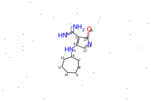 N=C(N)C1=C(NC2CCCCCC2)C=NC1=O